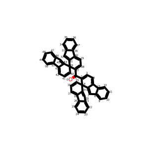 O=C(C1=CC=C2C(=Cc3ccccc32)C12C=CC=C1C2=Cc2ccccc21)C1=CC=C2C(=Cc3ccccc32)C12C=CC=C1C2=Cc2ccccc21